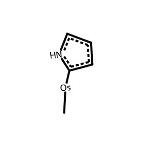 [CH3][Os][c]1ccc[nH]1